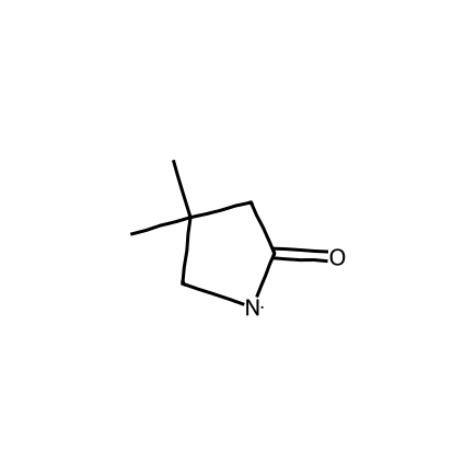 CC1(C)C[N]C(=O)C1